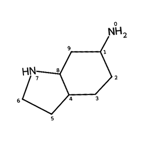 NC1CCC2CCNC2C1